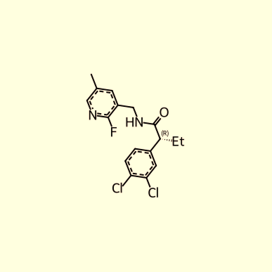 CC[C@@H](C(=O)NCc1cc(C)cnc1F)c1ccc(Cl)c(Cl)c1